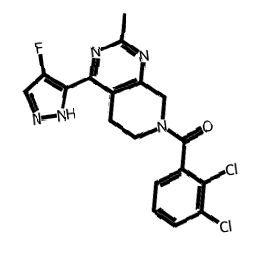 Cc1nc2c(c(-c3[nH]ncc3F)n1)CCN(C(=O)c1cccc(Cl)c1Cl)C2